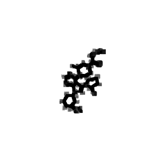 CC1CN(C(=O)OC(C)(C)C)CCN1c1ncnc2c1c(N1CCCC1=O)cn2C1CCCC(C#N)C1